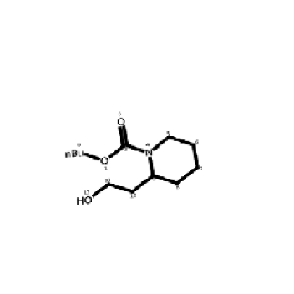 CCCCOC(=O)N1CCCCC1CCO